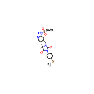 CNS(=O)(=O)Nc1cc(CN2C(=O)N(c3ccc(SC(F)(F)F)cc3)C(=O)C2(C)C)ccn1